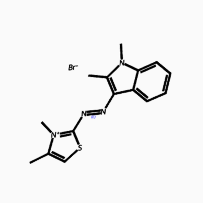 Cc1c(/N=N/c2scc(C)[n+]2C)c2ccccc2n1C.[Br-]